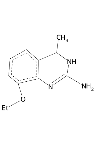 CCOc1cccc2c1N=C(N)NC2C